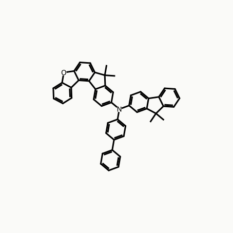 CC1(C)c2ccccc2-c2ccc(N(c3ccc(-c4ccccc4)cc3)c3ccc4c(c3)C(C)(C)c3ccc5oc6ccccc6c5c3-4)cc21